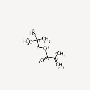 C=C(C)C(=O)OCC(C)(C)S